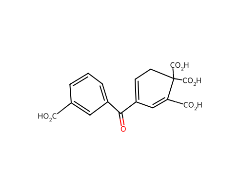 O=C(O)C1=CC(C(=O)c2cccc(C(=O)O)c2)=CCC1(C(=O)O)C(=O)O